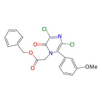 COc1cccc(-c2c(Cl)nc(Cl)c(=O)n2CC(=O)OCc2ccccc2)c1